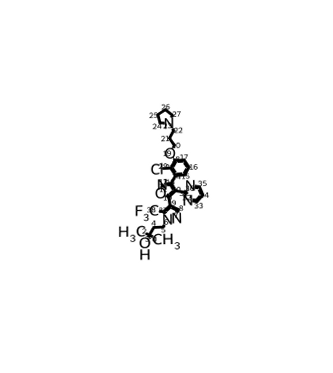 CC(C)(O)CCn1ncc(-c2onc(-c3cccc(OCCCN4CCCC4)c3Cl)c2-c2ncccn2)c1C(F)(F)F